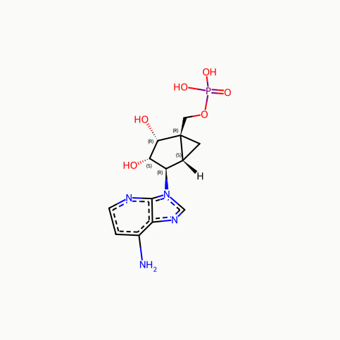 Nc1ccnc2c1ncn2[C@H]1[C@H](O)[C@H](O)[C@]2(COP(=O)(O)O)C[C@H]12